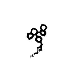 FCCCN1CC(=Cc2ccc(C3=C(c4cccc5c4CCCC5)CCCc4ccccc43)cc2)C1